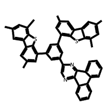 Cc1cc(C)c2sc3c(-c4cc(-c5cnc6c7ccccc7c7ccccc7c6n5)cc(-c5cc(C)cc6c5sc5c(C)cc(C)cc56)c4)cc(C)cc3c2c1